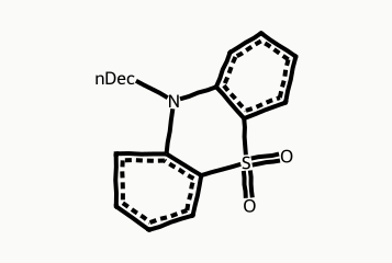 CCCCCCCCCCN1c2ccccc2S(=O)(=O)c2ccccc21